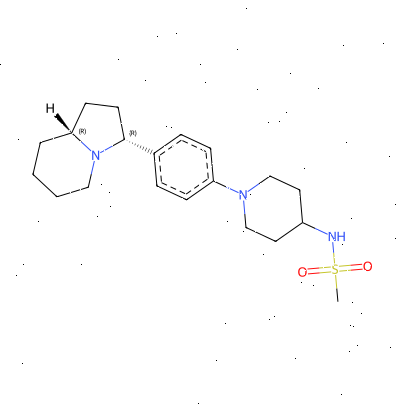 CS(=O)(=O)NC1CCN(c2ccc([C@H]3CC[C@H]4CCCCN43)cc2)CC1